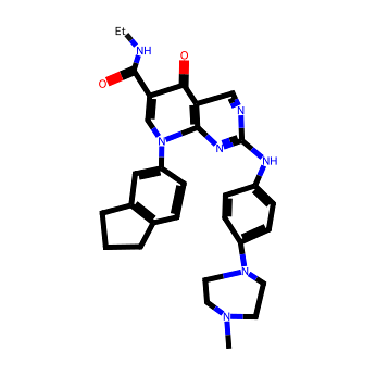 CCNC(=O)c1cn(-c2ccc3c(c2)CCC3)c2nc(Nc3ccc(N4CCN(C)CC4)cc3)ncc2c1=O